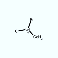 [Cl][GeH]([GeH3])[Br]